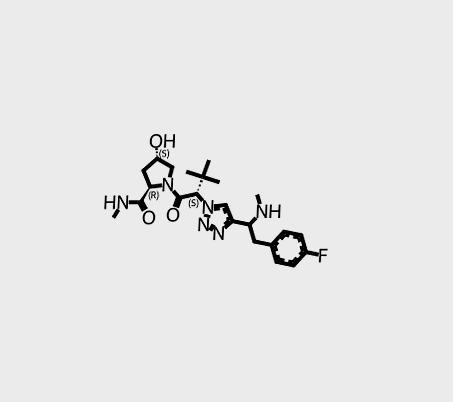 CNC(=O)[C@H]1C[C@H](O)CN1C(=O)[C@@H](n1cc(C(Cc2ccc(F)cc2)NC)nn1)C(C)(C)C